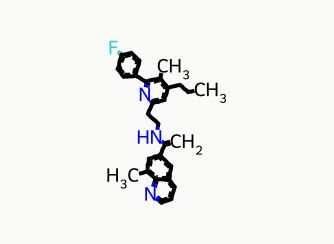 C=C(NCCc1cc(CCC)c(C)c(-c2ccc(F)cc2)n1)c1cc(C)c2ncccc2c1